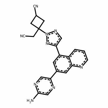 N#CCC1(n2ncc(-c3cc(-c4cnc(N)cn4)cc4ncccc34)n2)CC(C#N)C1